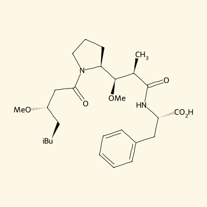 CC[C@H](C)C[C@@H](CC(=O)N1CCC[C@H]1[C@H](OC)[C@@H](C)C(=O)N[C@@H](Cc1ccccc1)C(=O)O)OC